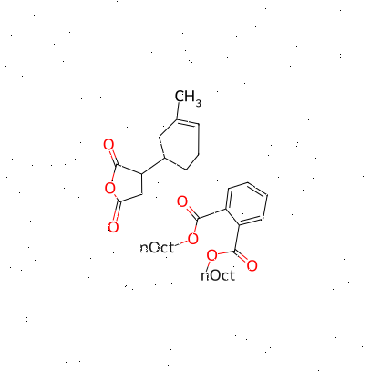 CC1=CCCC(C2CC(=O)OC2=O)C1.CCCCCCCCOC(=O)c1ccccc1C(=O)OCCCCCCCC